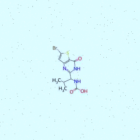 CC(C)C(NC(=O)O)c1nc2cc(Br)sc2c(=O)[nH]1